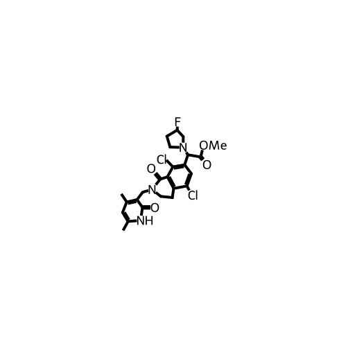 COC(=O)C(c1cc(Cl)c2c(c1Cl)C(=O)N(Cc1c(C)cc(C)[nH]c1=O)CC2)N1CCC(F)C1